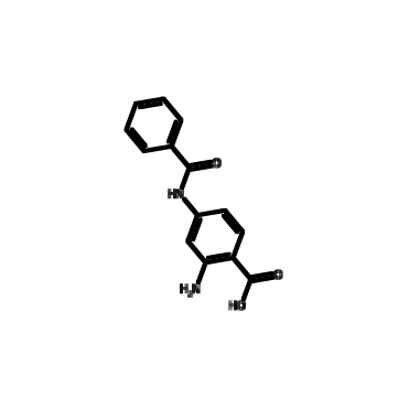 Nc1cc(NC(=O)c2ccccc2)ccc1C(=O)O